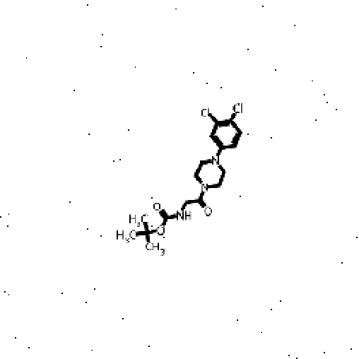 CC(C)(C)OC(=O)NCC(=O)N1CCN(c2ccc(Cl)c(Cl)c2)CC1